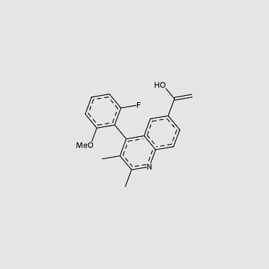 C=C(O)c1ccc2nc(C)c(C)c(-c3c(F)cccc3OC)c2c1